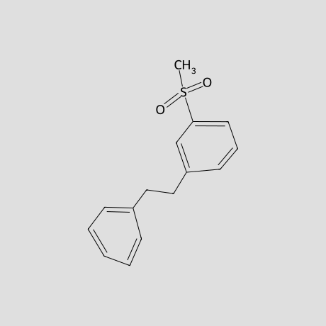 CS(=O)(=O)c1cccc(CCc2ccccc2)c1